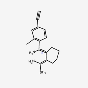 C#Cc1ccc(/C(N)=C2\CCCCC2=C(N)N)c(C)c1